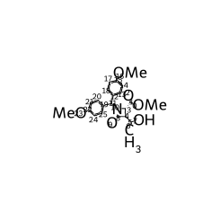 COC(=O)[C@@H]1[C@@H]([C@@H](C)O)C(=O)N1C(c1ccc(OC)cc1)c1ccc(OC)cc1